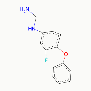 NCNc1ccc(Oc2ccccc2)c(F)c1